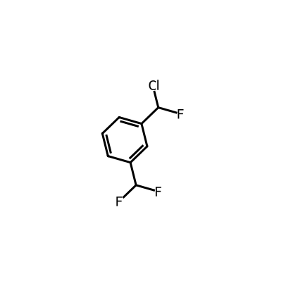 FC(F)c1cccc(C(F)Cl)c1